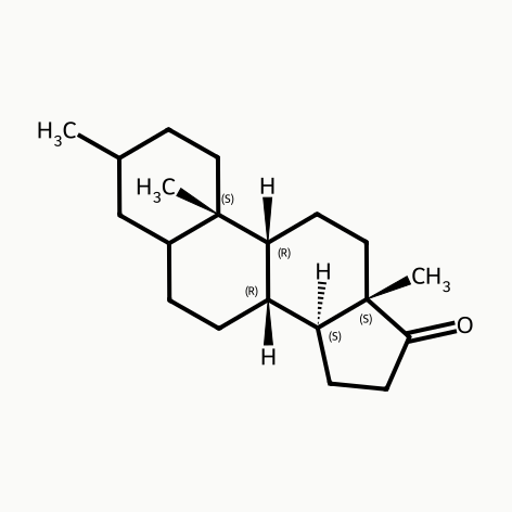 CC1CC[C@@]2(C)C(CC[C@@H]3[C@H]2CC[C@]2(C)C(=O)CC[C@@H]32)C1